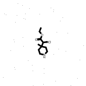 CCOC(=O)C(C)C1(C)CCNCC1.Cl